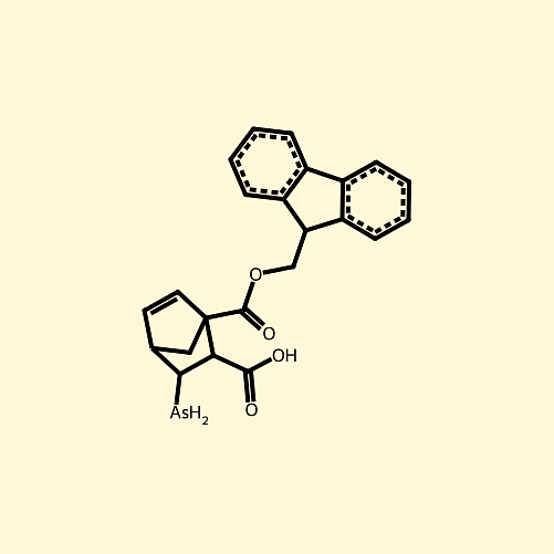 O=C(O)C1C([AsH2])C2C=CC1(C(=O)OCC1c3ccccc3-c3ccccc31)C2